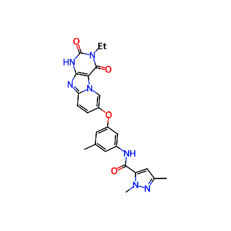 CCn1c(=O)[nH]c2nc3ccc(Oc4cc(C)cc(NC(=O)c5cc(C)nn5C)c4)cn3c2c1=O